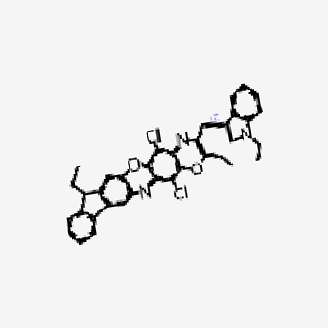 CCC1=C(/C=C2\CN(CC)c3ccccc32)N=c2c(Cl)c3c(c(Cl)c2O1)=Nc1cc2c(cc1O3)C(CC)c1ccccc1-2